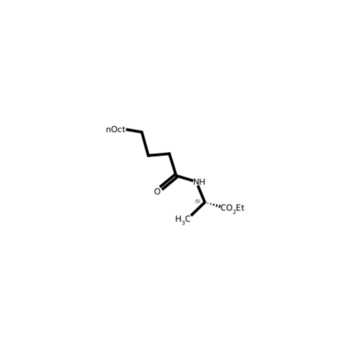 CCCCCCCCCCCC(=O)N[C@@H](C)C(=O)OCC